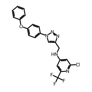 FC(F)(F)c1cc(NCc2cn(-c3ccc(Oc4ccccc4)cc3)nn2)cc(Cl)n1